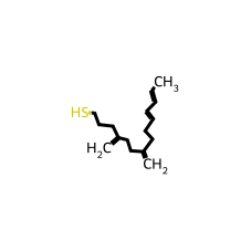 C=C(CCC=CC=CC)CCC(=C)CCCS